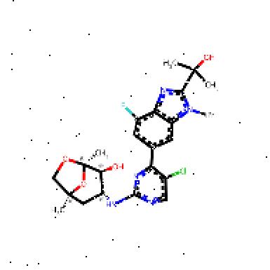 CC(C)n1c(C(C)(C)O)nc2c(F)cc(-c3nc(N[C@@H]4C[C@@]5(C)CO[C@](C)(O5)[C@H]4O)ncc3Cl)cc21